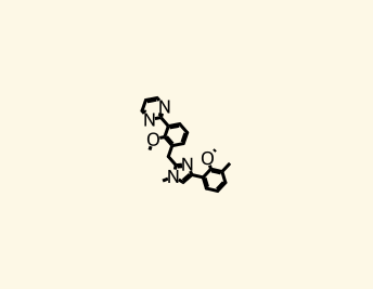 COc1c(C)cccc1-c1cn(C)c(Cc2cccc(-c3ncccn3)c2OC)n1